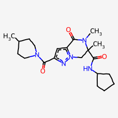 CC1CCN(C(=O)c2cc3n(n2)CC(C)(C(=O)NC2CCCC2)N(C)C3=O)CC1